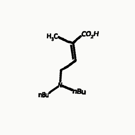 CCCCN(CC=C(C)C(=O)O)CCCC